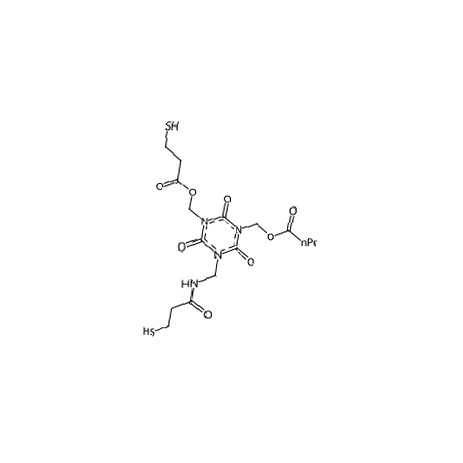 CCCC(=O)OCn1c(=O)n(CNC(=O)CCS)c(=O)n(COC(=O)CCS)c1=O